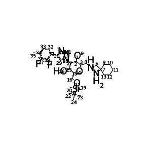 COC1C(CNCC2(N)CCCCC2)OC(CO[Si](C)(C)C(C)(C)C)C(O)C1n1cc(-c2ccc(C)c(F)c2F)nn1